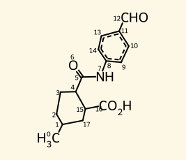 CC1CCC(C(=O)Nc2ccc(C=O)cc2)C(C(=O)O)C1